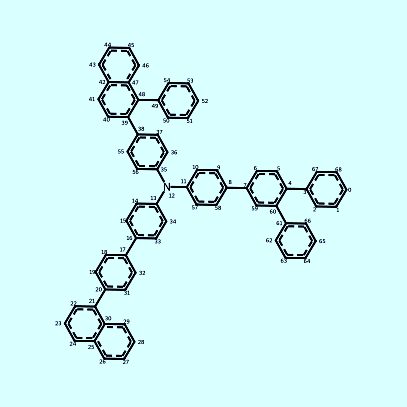 c1ccc(-c2ccc(-c3ccc(N(c4ccc(-c5ccc(-c6cccc7ccccc67)cc5)cc4)c4ccc(-c5ccc6ccccc6c5-c5ccccc5)cc4)cc3)cc2-c2ccccc2)cc1